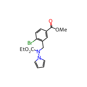 CCOC(=O)N(Cc1cc(C(=O)OC)ccc1Br)n1cccc1